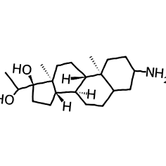 CC(O)[C@@]1(O)CC[C@H]2[C@@H]3CCC4CC(N)CC[C@]4(C)[C@H]3CC[C@@]21C